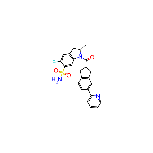 C[C@H]1Cc2cc(F)c(S(N)(=O)=O)cc2N1C(=O)[C@H]1Cc2ccc(-c3ccccn3)cc2C1